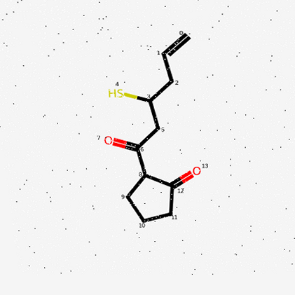 C=CCC(S)CC(=O)C1CCCC1=O